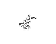 COC(=O)c1ccc(C(C)(CBr)C(=O)OC)cc1